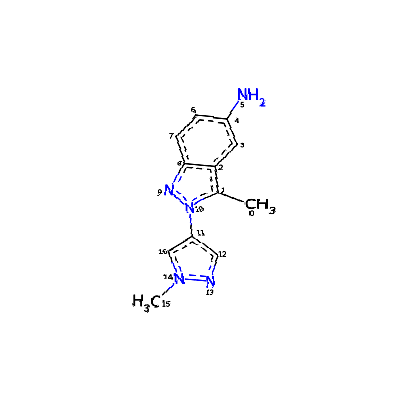 Cc1c2cc(N)ccc2nn1-c1cnn(C)c1